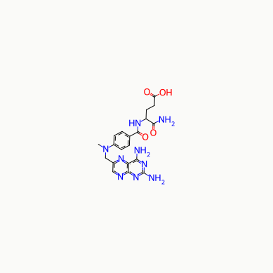 CN(Cc1cnc2nc(N)nc(N)c2n1)c1ccc(C(=O)NC(CCC(=O)O)C(N)=O)cc1